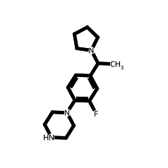 CC(c1ccc(N2CCNCC2)c(F)c1)N1CCCC1